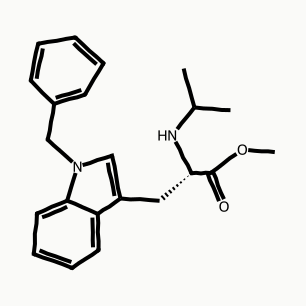 COC(=O)[C@H](Cc1cn(Cc2ccccc2)c2ccccc12)NC(C)C